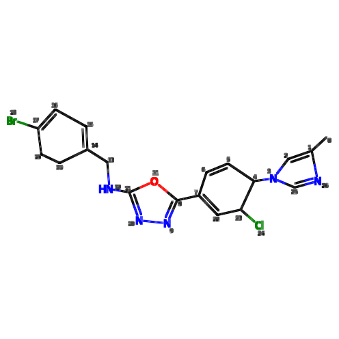 Cc1cn(C2C=CC(c3nnc(NCC4=CC=C(Br)CC4)o3)=CC2Cl)cn1